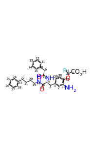 Nc1cc(C[C@H](NC(=O)Cc2ccccc2)C(=O)NCCCCc2ccccc2)ccc1OC(F)C(=O)O